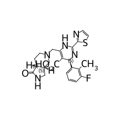 Cc1c(F)cccc1[C@@H]1N=C(c2nccs2)NC(CN2CC[C@H]3C(=O)NC[C@H]3C2)=C1C(=O)O